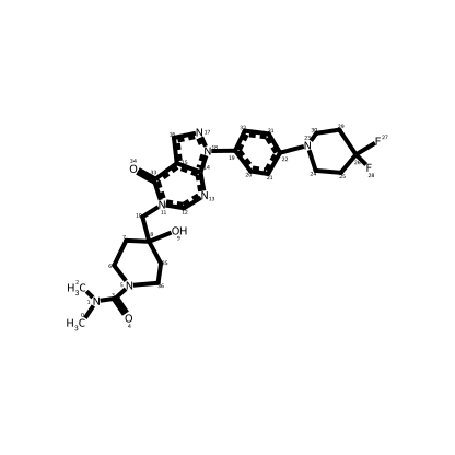 CN(C)C(=O)N1CCC(O)(Cn2cnc3c(cnn3-c3ccc(N4CCC(F)(F)CC4)cc3)c2=O)CC1